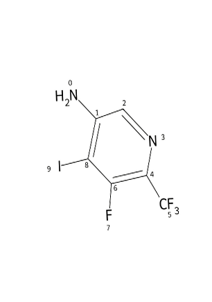 Nc1cnc(C(F)(F)F)c(F)c1I